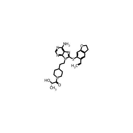 C=Cc1cc2c(cc1Sc1nc3c(N)ncnc3n1CCC1CCN(C(=O)[C@H](C)O)CC1)OCC2